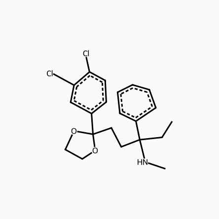 CCC(CCC1(c2ccc(Cl)c(Cl)c2)OCCO1)(NC)c1ccccc1